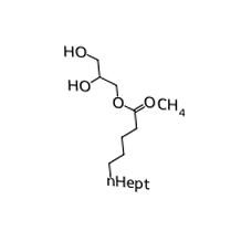 C.CCCCCCCCCCCC(=O)OCC(O)CO